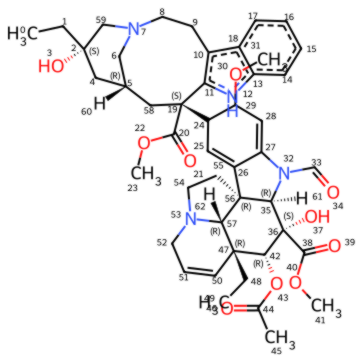 CC[C@]1(O)C[C@@H]2CN(CCc3c([nH]c4ccccc34)[C@@](C(=O)OC)(C3C=C4C(=CC3OC)N(C=O)[C@H]3[C@@](O)(C(=O)OC)[C@H](OC(C)=O)[C@]5(CC)C=CCN6CC[C@]43[C@@H]65)C2)C1